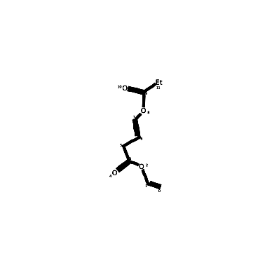 C=COC(=O)CC=COC(=O)CC